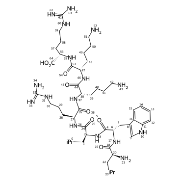 CC(C)C[C@H](NC(=O)[C@H](Cc1c[nH]c2ccccc12)NC(=O)[C@@H](N)CC(C)C)C(=O)N[C@@H](CCCNC(=N)N)C(=O)N[C@@H](CCCCN)C(=O)N[C@@H](CCCCN)C(=O)N[C@@H](CCCNC(=N)N)C(=O)O